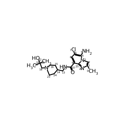 Cc1cn2c(N)c(Cl)cc(C(=O)NCC3CCN(CC(C)(C)O)CC3)c2n1